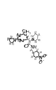 Cc1cc(C(C(=O)NCc2ccc([N+](=O)[O-])cc2)N2CCCCC2)nc(-n2ccnc2)n1